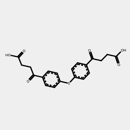 O=C(O)CCC(=O)c1ccc(Sc2ccc(C(=O)CCC(=O)O)cc2)cc1